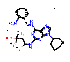 CC(CC(C)(C)O)Nc1nc(NCc2ccccc2N)c2ncn(C3CCCCC3)c2n1